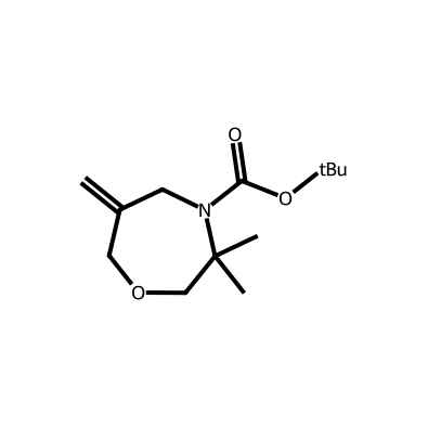 C=C1COCC(C)(C)N(C(=O)OC(C)(C)C)C1